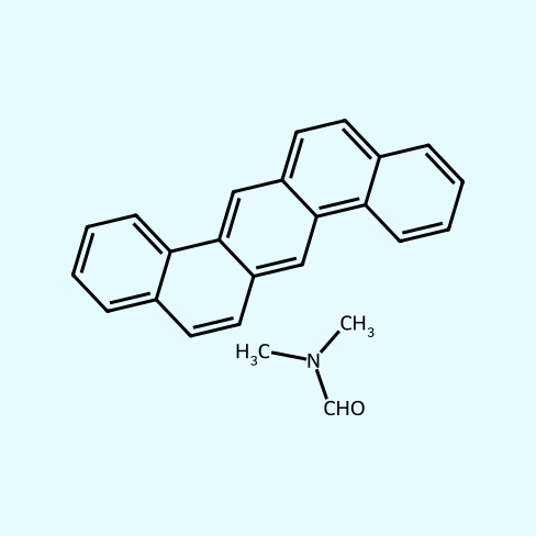 CN(C)C=O.c1ccc2c(c1)ccc1cc3c(ccc4ccccc43)cc12